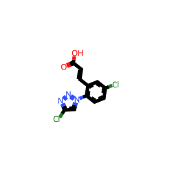 O=C(O)/C=C/c1cc(Cl)ccc1-n1cc(Cl)nn1